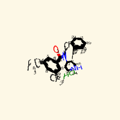 CN(C(=O)c1cc(C(F)(F)F)cc(C(F)(F)F)c1)[C@@H]1CCNC[C@H]1c1ccccc1.Cl